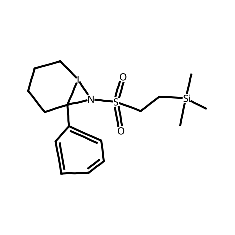 C[Si](C)(C)CCS(=O)(=O)N1I2CCCCC12c1ccccc1